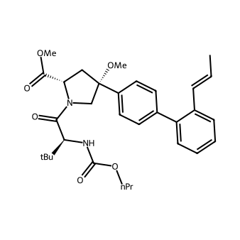 CC=Cc1ccccc1-c1ccc([C@]2(OC)C[C@@H](C(=O)OC)N(C(=O)[C@@H](NC(=O)OCCC)C(C)(C)C)C2)cc1